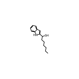 CCCCCCC(S)c1cc2ccccc2[nH]1